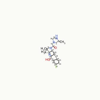 CC1CN(CC(=O)N2CC(C)(C)c3nc(CO)c(Cc4ccc(F)cc4)cc32)CCN1